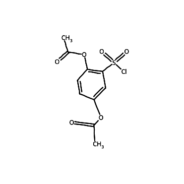 CC(=O)Oc1ccc(OC(C)=O)c(S(=O)(=O)Cl)c1